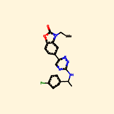 CSCn1c(=O)oc2ccc(-c3cnc(NC(C)c4ccc(F)cc4)nn3)cc21